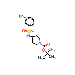 CC(C)(C)OC(=O)N1CCC(NS(=O)(=O)c2cccc(Br)c2)CC1